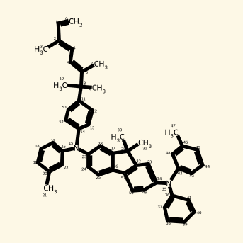 C=C/C(C)=C/C=C(\C)C(C)(C)c1ccc(N(c2cccc(C)c2)c2ccc3c(c2)C(C)(C)c2cc(N(c4ccccc4)c4cccc(C)c4)ccc2-3)cc1